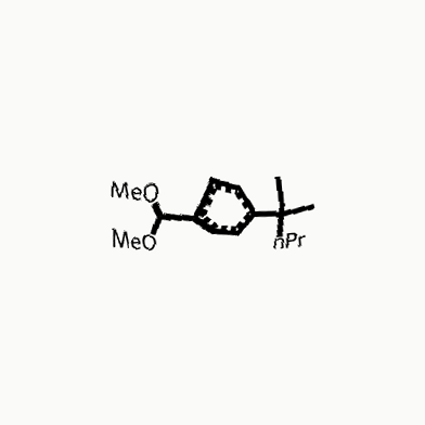 CCCC(C)(C)c1ccc(C(OC)OC)cc1